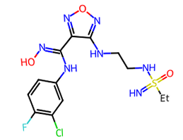 CCS(=N)(=O)NCCNc1nonc1/C(=N/O)Nc1ccc(F)c(Cl)c1